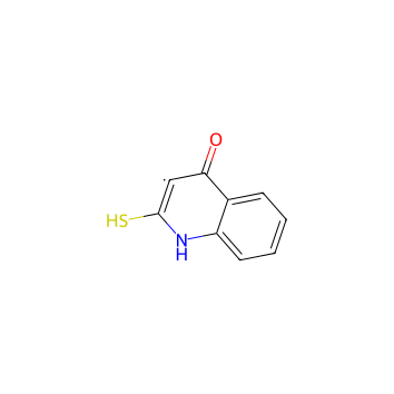 O=c1[c]c(S)[nH]c2ccccc12